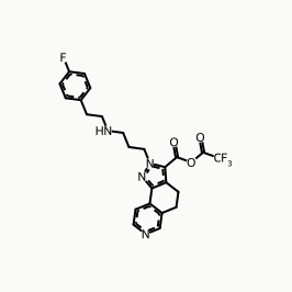 O=C(OC(=O)C(F)(F)F)c1c2c(nn1CCCNCCc1ccc(F)cc1)-c1ccncc1CC2